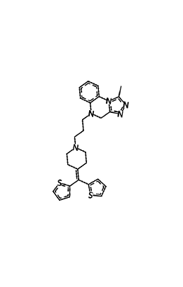 Cc1nnc2n1-c1ccccc1N(CCCN1CCC(=C(c3cccs3)c3cccs3)CC1)C2